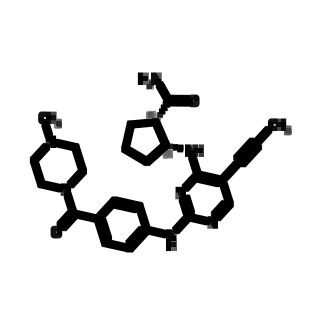 CC#Cc1cnc(Nc2ccc(C(=O)N3CCN(C)CC3)cc2)nc1N[C@@H]1CCC[C@@H]1C(N)=O